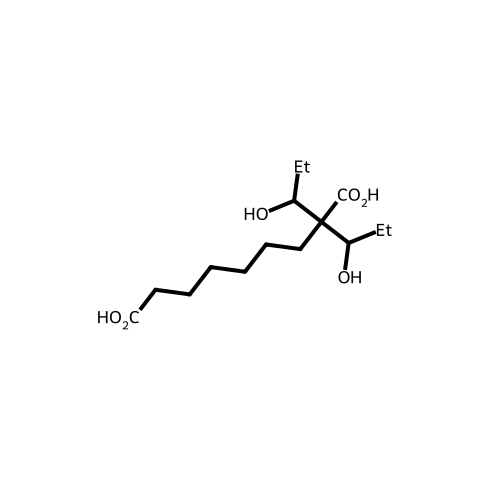 CCC(O)C(CCCCCCC(=O)O)(C(=O)O)C(O)CC